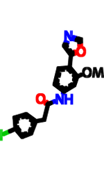 COc1cc(NC(=O)Cc2ccc(Cl)cc2)ccc1-c1cnco1